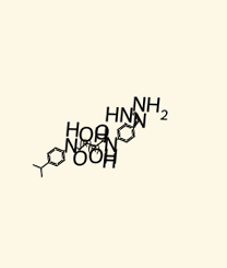 CC(C)c1ccc(NC(=O)[C@H](O)[C@@H](O)C(=O)Nc2ccc3nc(N)[nH]c3c2)cc1